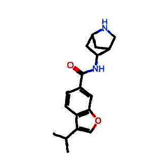 CC(C)c1coc2cc(C(=O)NC3CC4CC3CN4)ccc12